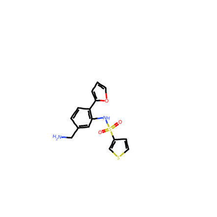 NCc1ccc(-c2ccco2)c(NS(=O)(=O)c2ccsc2)c1